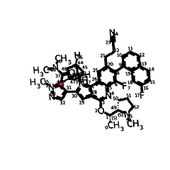 C[C@H](Oc1nc2c(F)c(-c3cccc4ccc(F)cc34)c(CCC#N)cc2c2c1cc(-c1cnn(C)c1C(=O)N(C)C)n2[C@H]1[C@H]2CN[C@@H]1C2)[C@@H]1CCCN1C